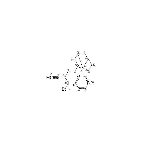 C#CC(CCC12CC3CC(CC(C3)C1)C2)[C](CC)c1ccncc1